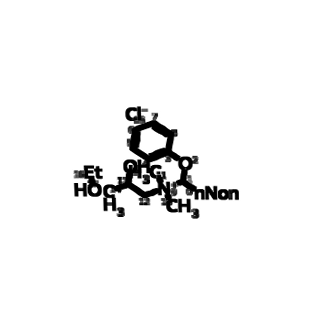 CCCCCCCCCC(Oc1ccccc1)[N+](C)(C)CC(C)O.CCO.[Cl-]